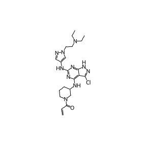 C=CC(=O)N1CCCC(Nc2nc(Nc3cnn(CCN(CC)CC)c3)nc3[nH]nc(Cl)c23)C1